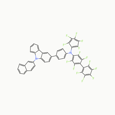 Fc1c(F)c(F)c(-c2c(F)c(F)c(N(c3ccc(-c4ccc5c(c4)c4ccccc4n5-c4ccc5ccccc5c4)cc3)c3c(F)c(F)c(F)c(F)c3F)c(F)c2F)c(F)c1F